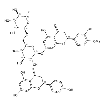 COc1ccc([C@@H]2CC(=O)c3c(O)cc(O[C@@H]4O[C@H](CO[C@@H]5O[C@@H](C)[C@H](O)[C@@H](O)[C@H]5O)[C@@H](O)[C@H](O)[C@H]4O)cc3O2)cc1O.O=C1C[C@@H](c2ccc(O)cc2)Oc2cc(O)cc(O)c21